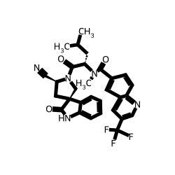 CC(C)C[C@@H](C(=O)N1C[C@]2(C[C@H]1C#N)C(=O)Nc1ccccc12)N(C)C(=O)c1ccc2ncc(C(F)(F)F)cc2c1